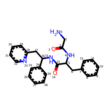 NCC(=O)NC(Cc1ccccc1)C(=O)NC(Cc1ccccn1)c1ccccc1